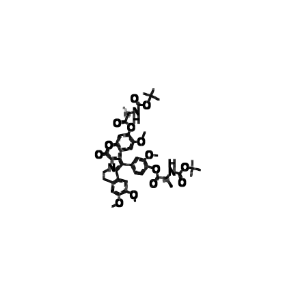 COc1cc2c(cc1OC)-c1c(-c3ccc(OC(=O)[C@H](C)NC(=O)OC(C)(C)C)c(OC)c3)c3c4cc(OC)c(OC(=O)[C@H](C)NC(=O)OC(C)(C)C)cc4oc(=O)c3n1CC2